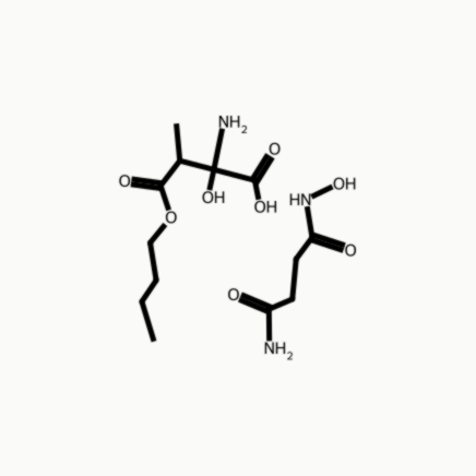 CCCCOC(=O)C(C)C(N)(O)C(=O)O.NC(=O)CCC(=O)NO